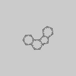 c1ccc2c(c1)ccn1cc3ccccc3c21